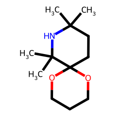 CC1(C)CCC2(OCCCO2)C(C)(C)N1